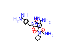 CC(=O)c1c(C(=N)N)ccc(C(=O)N(C(=O)CN)C2CCCCC2)c1C(=O)[C@@H](N)Cc1ccc(C(=N)N)cc1